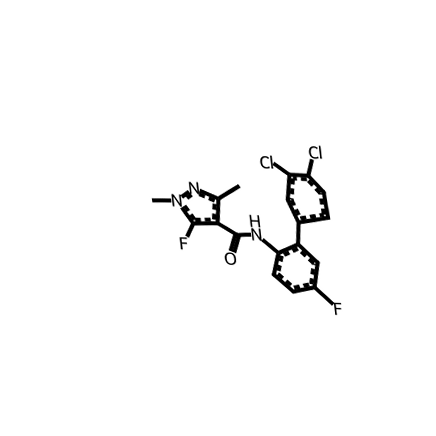 Cc1nn(C)c(F)c1C(=O)Nc1ccc(F)cc1-c1ccc(Cl)c(Cl)c1